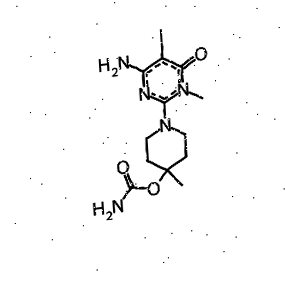 Cn1c(N2CCC(C)(OC(N)=O)CC2)nc(N)c(I)c1=O